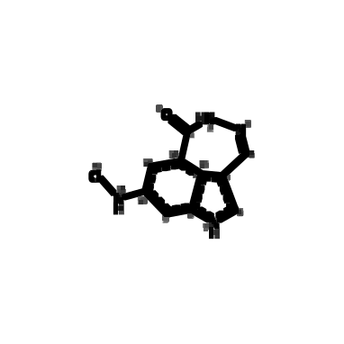 O=C1NN=Cc2c[nH]c3cc(NCl)cc1c23